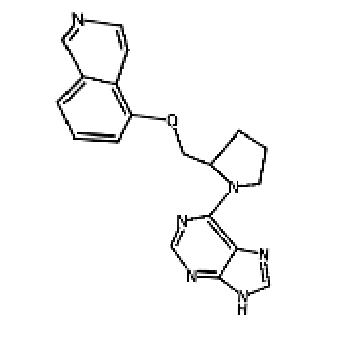 c1cc(OCC2CCCN2c2ncnc3[nH]cnc23)c2ccncc2c1